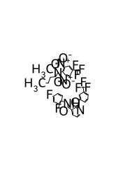 CCCCN(CC)c1c([N+](=O)[O-])cc(C(F)(F)F)cc1[N+](=O)[O-].O=C(Nc1ccc(F)cc1F)c1cccnc1Oc1cccc(C(F)(F)F)c1